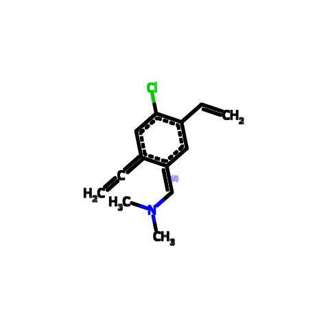 C=C=c1cc(Cl)c(C=C)c/c1=C/N(C)C